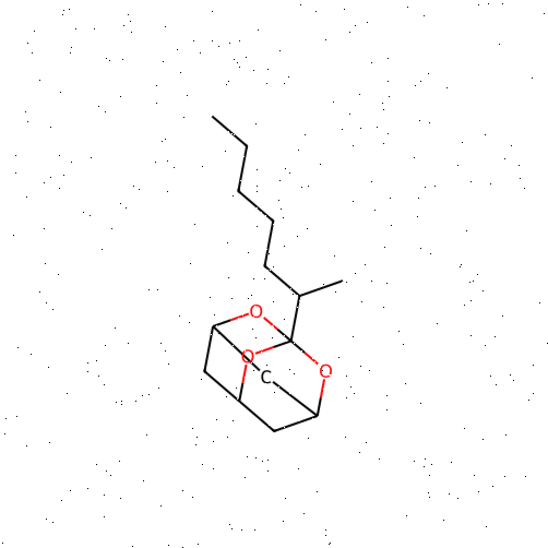 CCCCCC(C)C12OC3CC(CC(C3)O1)O2